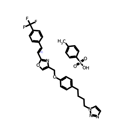 Cc1ccc(S(=O)(=O)O)cc1.FC(F)(F)c1ccc(/C=C/c2nc(COc3ccc(CCCCn4ccnn4)cc3)co2)cc1